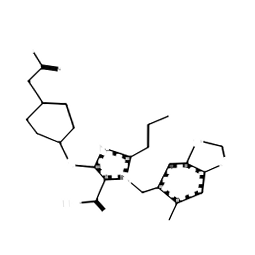 CCCc1nc(SC2CCC(CC(=O)O)CC2)c(C(=O)O)n1Cc1cc2c(cc1C)OCO2